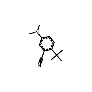 CN(C)c1ccc(C(C)(C)C)c(C#N)c1